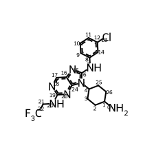 NC1CCC(n2c(Nc3cccc(Cl)c3)nc3cnc(NCC(F)(F)F)nc32)CC1